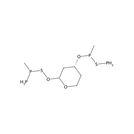 CP(P)SOC1C[C@H](OP(C)SP)CCO1